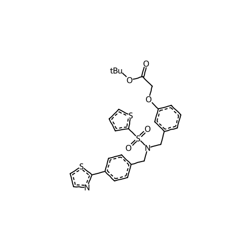 CC(C)(C)OC(=O)COc1cccc(CN(Cc2ccc(-c3nccs3)cc2)S(=O)(=O)c2cccs2)c1